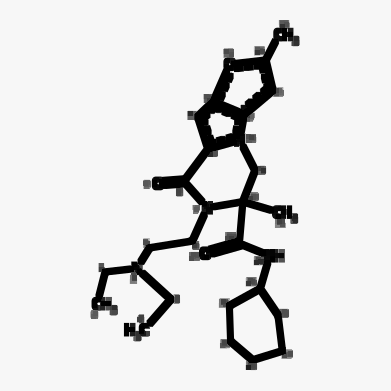 CCN(CC)CCN1C(=O)c2cc3oc(C)cc3n2CC1(C)C(=O)NC1CCCCC1